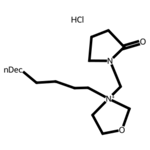 CCCCCCCCCCCCCC[N+]1(CN2CCCC2=O)CCOC1.Cl